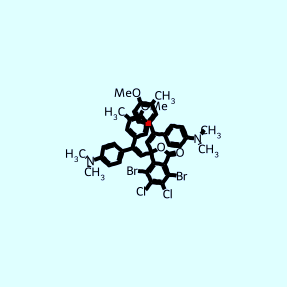 COc1ccc(C(=CC2(C=C(c3ccc(N(C)C)cc3)c3ccc(OC)c(C)c3)OC(=O)c3c(Br)c(Cl)c(Cl)c(Br)c32)c2ccc(N(C)C)cc2)cc1C